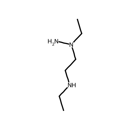 CCNCCN(N)CC